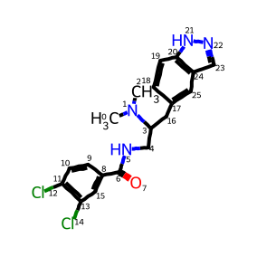 CN(C)C(CNC(=O)c1ccc(Cl)c(Cl)c1)Cc1ccc2[nH]ncc2c1